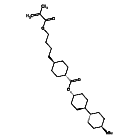 C=C(C)C(=O)OCCCC[C@H]1CC[C@H](C(=O)O[C@H]2CC[C@H]([C@H]3CC[C@H](CCCC)CC3)CC2)CC1